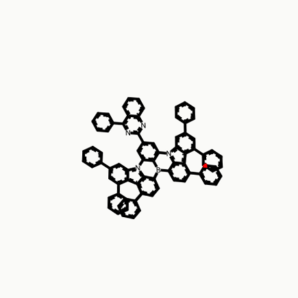 c1ccc(-c2cc(-c3ccccc3)c3c4c(-c5ccccc5)ccc5c4n(c3c2)-c2cc(-c3nc(-c4ccccc4)c4ccccc4n3)cc3c2B5c2ccc(-c4ccccc4)c4c5c(-c6ccccc6)cc(-c6ccccc6)cc5n-3c24)cc1